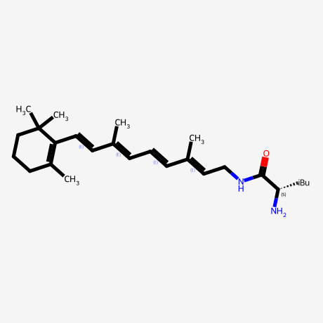 CCC(C)[C@H](N)C(=O)NC/C=C(C)/C=C/C=C(C)/C=C/C1=C(C)CCCC1(C)C